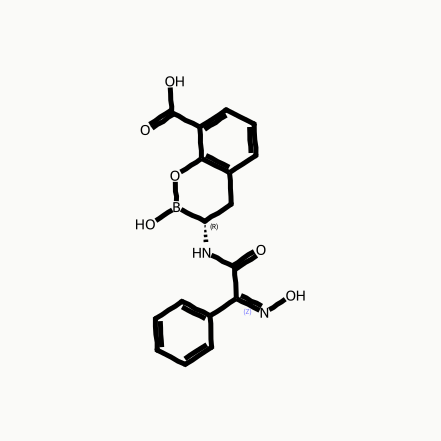 O=C(N[C@H]1Cc2cccc(C(=O)O)c2OB1O)/C(=N\O)c1ccccc1